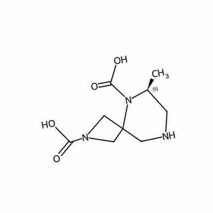 C[C@H]1CNCC2(CN(C(=O)O)C2)N1C(=O)O